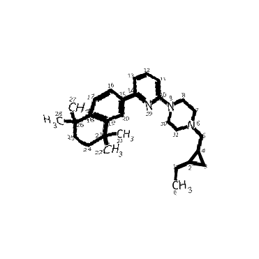 CCC1CC1CN1CCN(c2cccc(-c3ccc4c(c3)C(C)(C)CCC4(C)C)n2)CC1